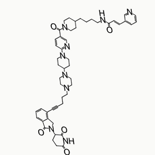 O=C(/C=C/c1cccnc1)NCCCCC1CCN(C(=O)c2ccc(N3CCC(N4CCN(CCCC#Cc5cccc6c5CN(C5CCC(=O)NC5=O)C6=O)CC4)CC3)nc2)CC1